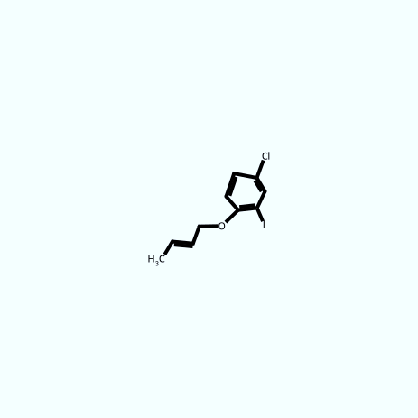 CC=CCOc1ccc(Cl)cc1I